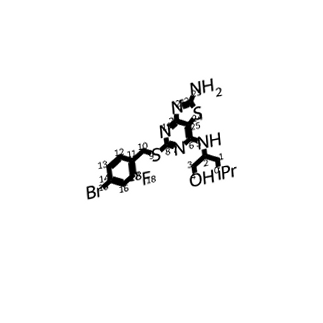 CC(C)CC(CO)Nc1nc(SCc2ccc(Br)cc2[18F])nc2nc(N)sc12